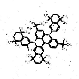 Cc1cc2c(cc1N1c3cc4c(cc3B3c5ccc(C(C)(C)C)cc5N(c5ccc6c(c5)C(C)(C)CCC6(C)C)c5cc(C(C)(C)C)cc1c53)C(C)(C)CCC4(C)C)C(C)(C)CCC2(C)C